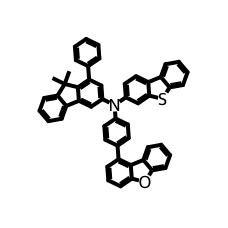 CC1(C)c2ccccc2-c2cc(N(c3ccc(-c4cccc5oc6ccccc6c45)cc3)c3ccc4c(c3)sc3ccccc34)cc(-c3ccccc3)c21